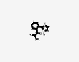 C[C@@H](C(N)=O)c1ccccc1-c1ncco1